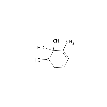 CC1=CC=CN(C)C1(C)C